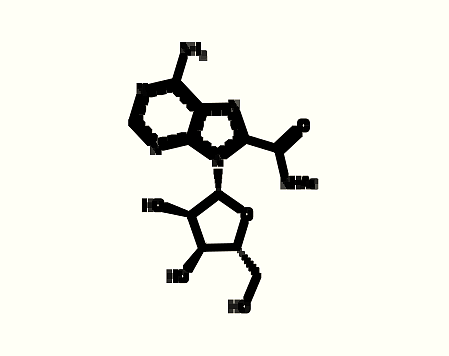 CC(=O)NC(=O)c1nc2c(N)ncnc2n1[C@@H]1O[C@H](CO)[C@@H](O)[C@H]1O